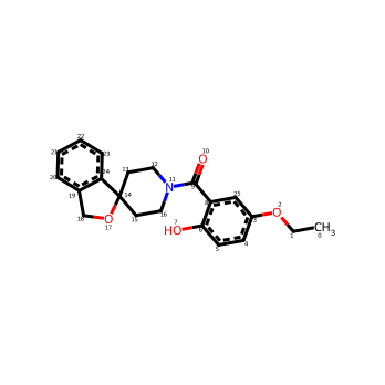 CCOc1ccc(O)c(C(=O)N2CCC3(CC2)OCc2ccccc23)c1